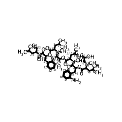 CC(C)CC(C(=O)OC(Cc1ccccc1N)C(=O)N(C)C(C=O)CC(C)C)N(C)CC(C)OC(=O)C(CC(C)C)N(C)C(=O)C(Cc1ccccc1N)OC(=O)C(CC(C)C)N(C)CC(C)O